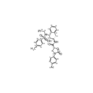 CC(=O)c1ccc(N2C[C@@H](C(=O)N[C@@H](Cc3ccccc3)[C@H](O)CN(CC(C)C)S(=O)(=O)c3ccc(C)cc3)OC2=O)cc1